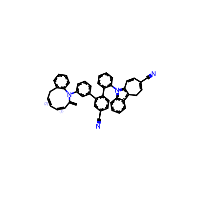 C=C1/C=C\C=C/Cc2ccccc2N1c1cccc(-c2cc(C#N)ccc2-c2ccccc2-n2c3c(c4ccccc42)CC=C(C#N)C=C3)c1